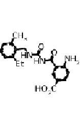 CCc1cccc(C)c1CNC(=O)NC(=O)c1cc(C(=O)O)ccc1N